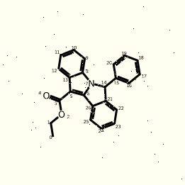 CCOC(=O)c1c2n(c3ccccc13)C(c1ccccc1)c1ccccc1-2